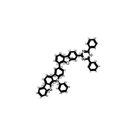 c1ccc(-c2nc(-c3ccccc3)nc(-c3ccc4c(c3)oc3c(-c5ccc6c(c5)c5ccc7c8ccccc8sc7c5n6-c5ccccc5)cccc34)n2)cc1